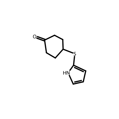 O=C1CCC(Sc2ccc[nH]2)CC1